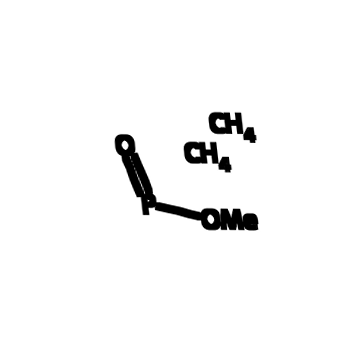 C.C.COP=O